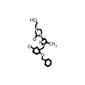 Cc1cc(N2CCN(CCO)CC2=O)nn1Cc1cc(Cl)ccc1OCc1ccccc1